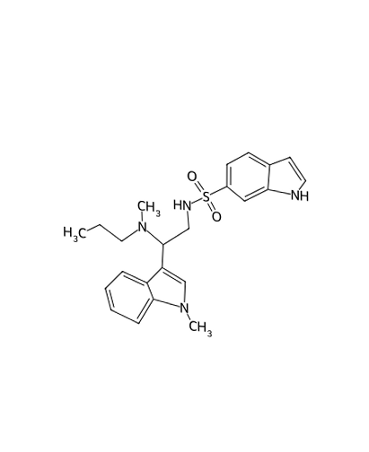 CCCN(C)C(CNS(=O)(=O)c1ccc2cc[nH]c2c1)c1cn(C)c2ccccc12